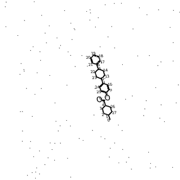 CC1CCC(C(=O)Oc2ccc(C3CCC(c4ccccc4)CC3)cc2)CC1